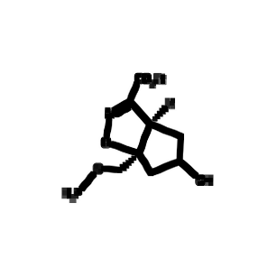 CCOC(=O)C1=NO[C@]2(COP)CC(O)C[C@H]12